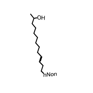 CCCCCCCCCCCC=CCCCCCCCC(C)O